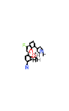 [2H]N1CCC(c2cccc3c2OC(c2ccc(C#N)cc2OC([2H])([2H])[2H])C=C3F)CC1